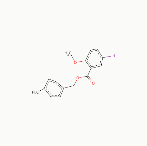 COc1ccc(I)cc1C(=O)OCc1ccc(C)cc1